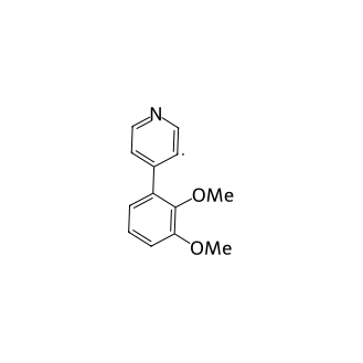 COc1cccc(-c2[c]cncc2)c1OC